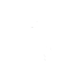 N#Cc1ccc(-c2cc(C(=O)O)sc2Br)cc1F